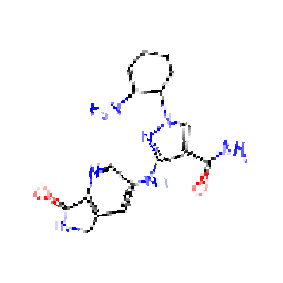 NC(=O)c1cn(C2CCCCC2N)nc1Nc1cnc2c(c1)CNC2=O